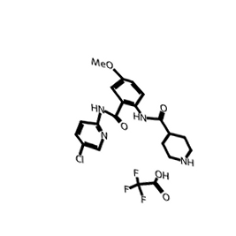 COc1ccc(NC(=O)C2CCNCC2)c(C(=O)Nc2ccc(Cl)cn2)c1.O=C(O)C(F)(F)F